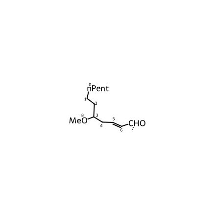 CCCCCCCC(C/C=C/C=O)OC